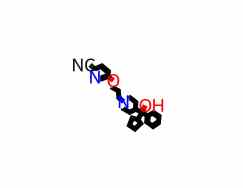 N#Cc1ccc(OCCCN2CCC(C(O)(c3ccccc3)C3CCCC3)CC2)cn1